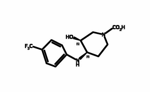 O=C(O)N1CC[C@@H](Nc2ccc(C(F)(F)F)cc2)[C@@H](O)C1